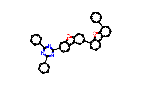 c1ccc(-c2nc(-c3ccccc3)nc(-c3ccc4c(c3)oc3ccc(-c5cccc6c5oc5c(-c7ccccc7)cccc56)cc34)n2)cc1